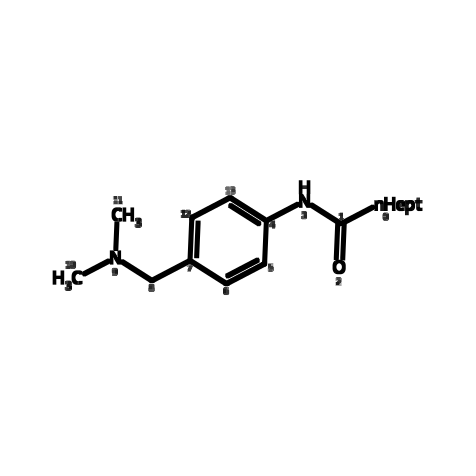 CCCCCCCC(=O)Nc1ccc(CN(C)C)cc1